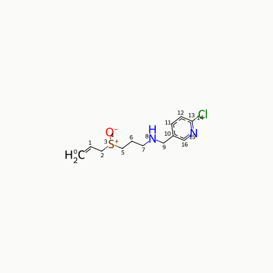 C=CC[S+]([O-])CCCNCc1ccc(Cl)nc1